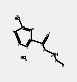 CCNCC(=O)c1cccc(O)c1.Cl